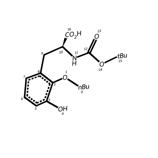 CCCCOc1c(O)cccc1C[C@H](NC(=O)OC(C)(C)C)C(=O)O